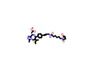 COC(=O)C[C@@H]1N=C(c2ccc(C#CCNC(=O)CCCCCN3C(=O)C=CC3=O)cc2)c2c(sc(C)c2C)-n2c(C)nnc21